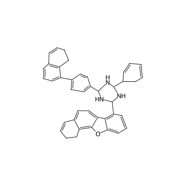 C1=CCC(C2NC(c3ccc(-c4cccc5c4CCC=C5)cc3)NC(c3cccc4oc5c6c(ccc5c34)C=CCC6)N2)C=C1